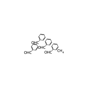 C.O=Cc1ccccc1.O=Cc1ccccc1.O=Cc1ccccc1.O=Cc1ccccc1